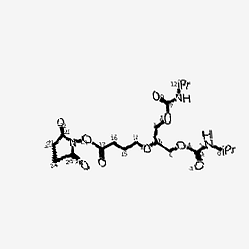 CC(C)NC(=O)OCC(COC(=O)NC(C)C)OCCCC(=O)ON1C(=O)CCC1=O